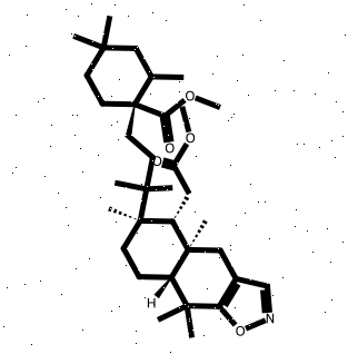 COC(=O)C[C@@H]1[C@@]2(C)Cc3cnoc3C(C)(C)[C@@H]2CC[C@@]1(C)C(C)(C)CC[C@@]1(C(=O)OC)CCC(C)(C)CC1C